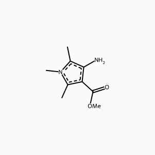 COC(=O)c1c(N)c(C)n(C)c1C